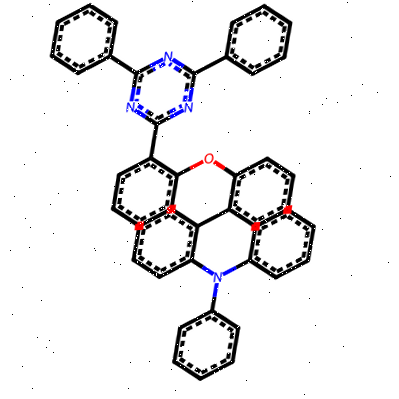 c1ccc(-c2nc(-c3ccccc3)nc(-c3ccccc3Oc3ccccc3-c3ccccc3N(c3ccccc3)c3ccccc3)n2)cc1